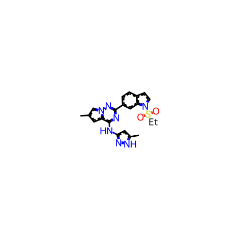 CCS(=O)(=O)n1ccc2ccc(-c3nc(Nc4cc(C)[nH]n4)c4cc(C)cn4n3)cc21